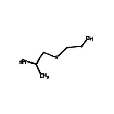 CCCC(C)CSCCO